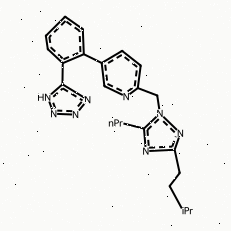 CCCc1nc(CCC(C)C)nn1Cc1ccc(-c2ccccc2-c2nnn[nH]2)cn1